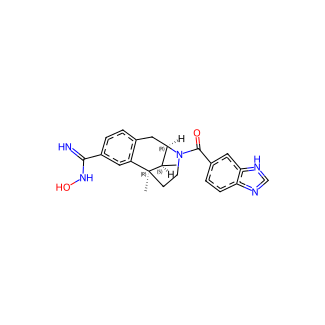 C[C@@H]1[C@H]2Cc3ccc(C(=N)NO)cc3[C@]1(C)CCN2C(=O)c1ccc2nc[nH]c2c1